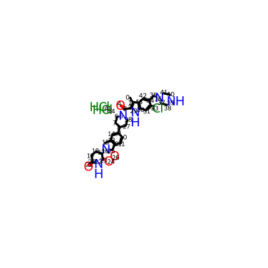 Cc1c(C(=O)N2CCC(c3ccc4c(c3)CN(C3CCC(=O)NC3=O)C4=O)CC2)[nH]c2cc(Cl)c(CN3CCNCC3)cc12.Cl.Cl